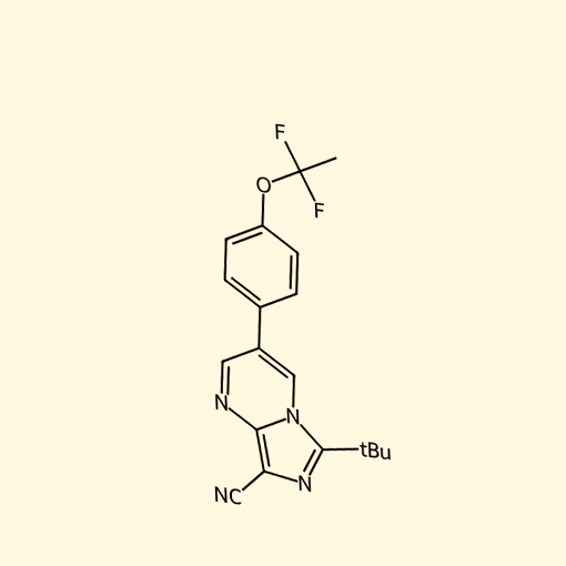 CC(F)(F)Oc1ccc(-c2cnc3c(C#N)nc(C(C)(C)C)n3c2)cc1